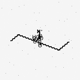 CCCCCC/C=C\CCCCCCCCCC(=O)O[C@H](COC(=O)CCCCCCCCCCC/C=C\CCCCCCCC)COP(=O)(O)OCC[N+](C)(C)C